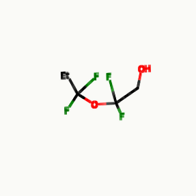 CCC(F)(F)OC(F)(F)CO